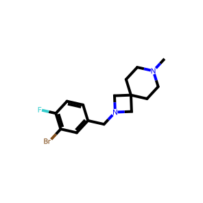 CN1CCC2(CC1)CN(Cc1ccc(F)c(Br)c1)C2